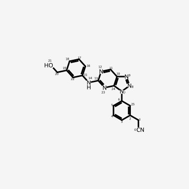 N#CCc1cccc(-n2nnc3cnc(Nc4cccc(CO)c4)nc32)c1